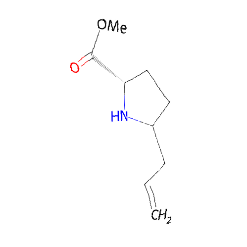 C=CCC1CC[C@@H](C(=O)OC)N1